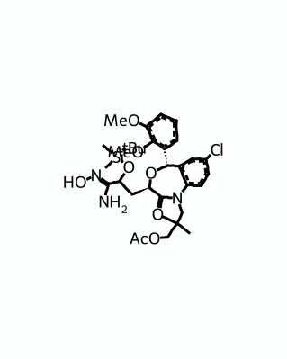 COc1cccc([C@H]2O[C@H](CC(O[Si](C)(C)C(C)(C)C)/C(N)=N/O)C(=O)N(CC(C)(C)COC(C)=O)c3ccc(Cl)cc32)c1OC